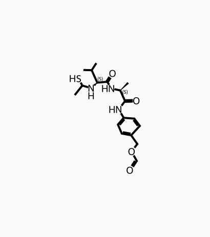 CC(S)N[C@H](C(=O)N[C@@H](C)C(=O)Nc1ccc(COC=O)cc1)C(C)C